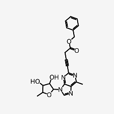 Cc1nc(C#CCC(=O)OCc2ccccc2)nc2c1ncn2C1OC(C)C(O)C1O